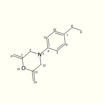 C=C1CN(c2ccc(CC)cc2)CC(=C)O1